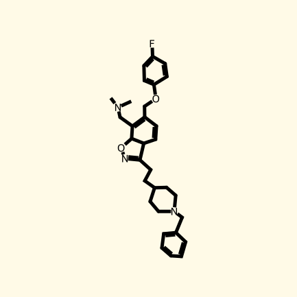 CN(C)CC1=C(COc2ccc(F)cc2)C=CC2C(CCC3CCN(Cc4ccccc4)CC3)=NOC12